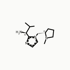 CC(C)[C@H](N)c1nccn1C[C@@H]1CCCN1C